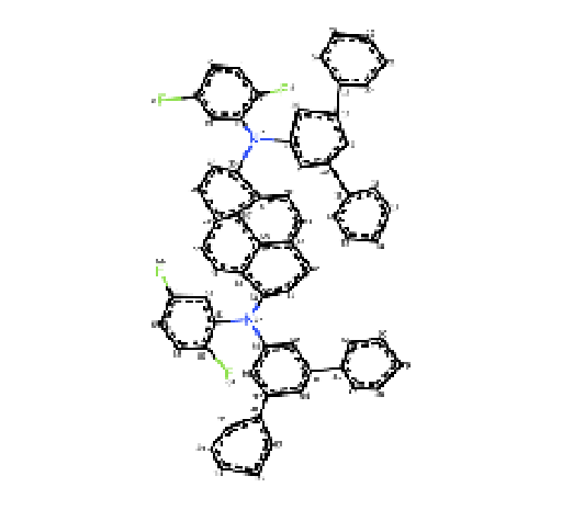 Fc1ccc(F)c(N(c2cc(-c3ccccc3)cc(-c3ccccc3)c2)c2ccc3ccc4c(N(c5cc(-c6ccccc6)cc(-c6ccccc6)c5)c5cc(F)ccc5F)ccc5ccc2c3c54)c1